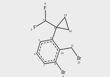 FC(F)C1(c2cccc(Br)c2CBr)CC1